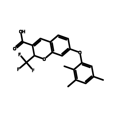 Cc1cc(C)c(C)c(Oc2ccc3c(c2)OC(C(F)(F)F)C(C(=O)O)=C3)c1